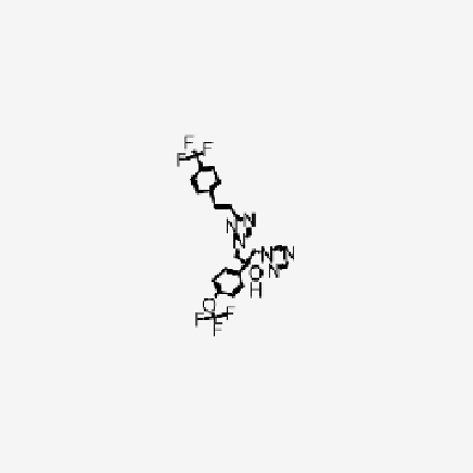 OC(Cn1cncn1)(Cn1cnc(C=Cc2ccc(C(F)(F)F)cc2)n1)c1ccc(OC(F)(F)F)cc1